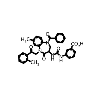 Cc1ccc2c(c1)N(CC(=O)c1ccccc1C)C(=O)C(NC(=O)Nc1cccc(C(=O)O)c1)CN2C(=O)c1ccccc1